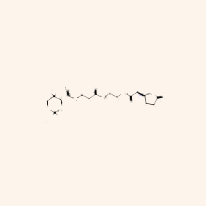 CC1(C)OCC(C)(C)[C@H](C(=O)NCCC(=O)NCCSC(=O)/C=C2\CCC(=O)O2)O1